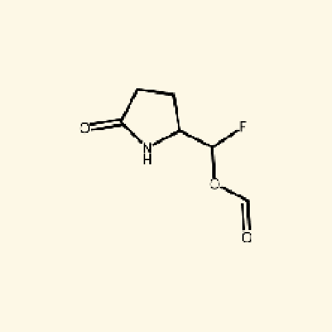 O=COC(F)C1CCC(=O)N1